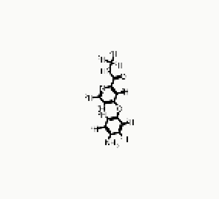 [2H]c1nc(C(=O)NC([2H])([2H])[2H])c([2H])c(Oc2c([2H])c([2H])c(N)c([2H])c2[2H])c1[2H]